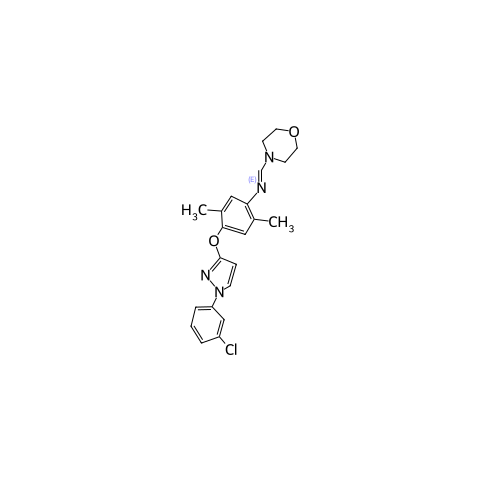 Cc1cc(Oc2ccn(-c3cccc(Cl)c3)n2)c(C)cc1/N=C/N1CCOCC1